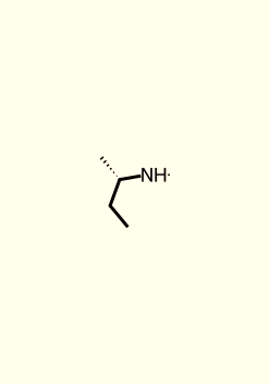 CC[C@H](C)[NH]